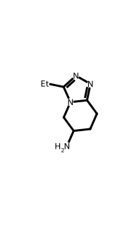 CCc1nnc2n1CC(N)CC2